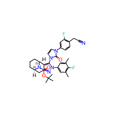 Cc1cc(-n2nc3c(c2-n2ccn(-c4ccc(CC#N)c(F)c4)c2=O)[C@@H]2CCC[C@H](C3)N2C(=O)OC(C)(C)C)cc(C)c1F